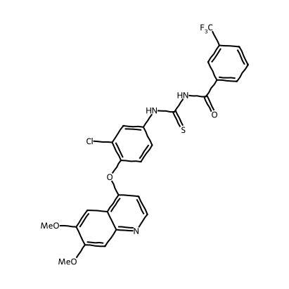 COc1cc2nccc(Oc3ccc(NC(=S)NC(=O)c4cccc(C(F)(F)F)c4)cc3Cl)c2cc1OC